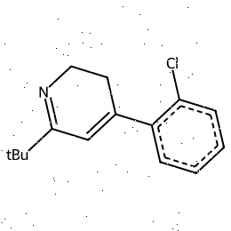 CC(C)(C)C1=NCCC(c2ccccc2Cl)=C1